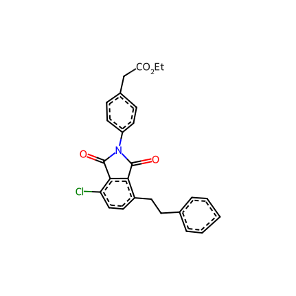 CCOC(=O)Cc1ccc(N2C(=O)c3c(Cl)ccc(CCc4ccccc4)c3C2=O)cc1